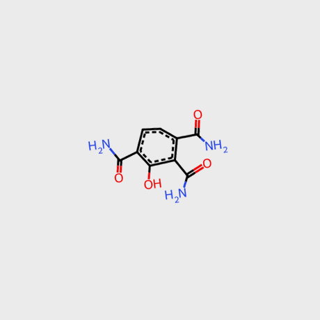 NC(=O)c1ccc(C(N)=O)c(C(N)=O)c1O